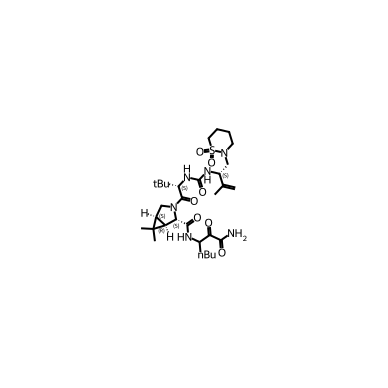 C=C(C)[C@@H](CN1CCCCS1(=O)=O)NC(=O)N[C@H](C(=O)N1C[C@H]2[C@@H]([C@H]1C(=O)NC(CCCC)C(=O)C(N)=O)C2(C)C)C(C)(C)C